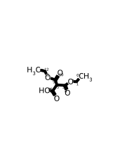 CCOC(=O)C(C(=O)O)C(=O)OCC